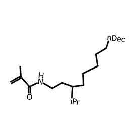 C=C(C)C(=O)NCCC(CCCCCCCCCCCCCCC)C(C)C